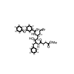 COC(=O)CCC(=O)NC(Cc1ccccc1)[C@@H](O)CC(CCC(C)C)NC(=O)c1cccc(Oc2ccccc2)c1